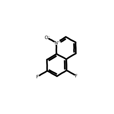 [O-][n+]1cccc2c(F)cc(F)cc21